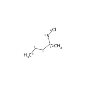 CCCC(C)SCl